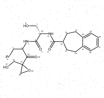 CC(C)CC(NC(=O)[C@H](CO)NC(=O)C1CCc2ccccc2CC1)C(=O)C1(CO)CO1